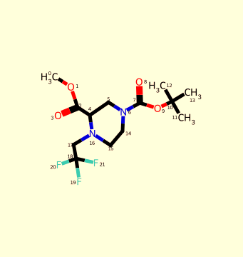 COC(=O)C1CN(C(=O)OC(C)(C)C)CCN1CC(F)(F)F